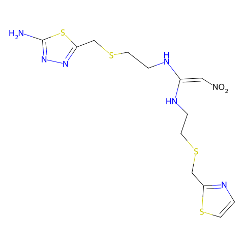 Nc1nnc(CSCCNC(=C[N+](=O)[O-])NCCSCc2nccs2)s1